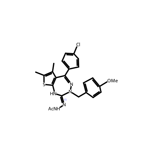 COc1ccc(CN2N=C(c3ccc(Cl)cc3)c3c(sc(C)c3C)N/C2=N\NC(C)=O)cc1